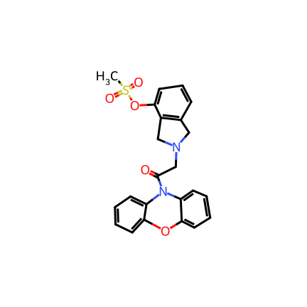 CS(=O)(=O)Oc1cccc2c1CN(CC(=O)N1c3ccccc3Oc3ccccc31)C2